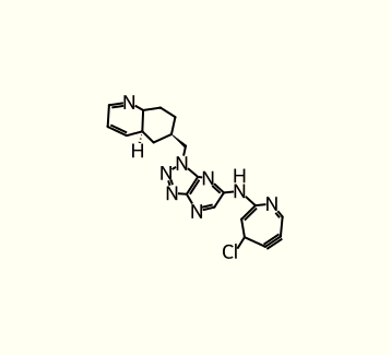 ClC1C#CC=NC(Nc2cnc3nnn(C[C@@H]4CCC5N=CC=C[C@@H]5C4)c3n2)=C1